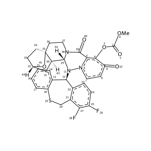 COC(=O)Oc1c2n(ccc1=O)N([C@@H]1c3ccccc3SCc3c1ccc(F)c3F)[C@@H]1[C@H]3C[C@@H]4CC[C@@]3(CCN1C2=O)O4